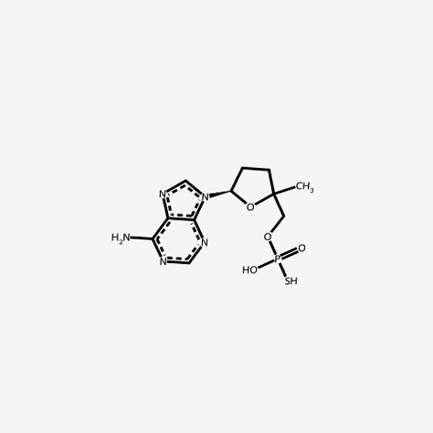 CC1(COP(=O)(O)S)CC[C@H](n2cnc3c(N)ncnc32)O1